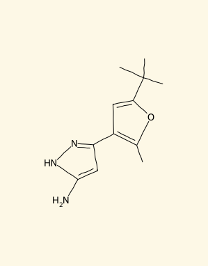 Cc1oc(C(C)(C)C)cc1-c1cc(N)[nH]n1